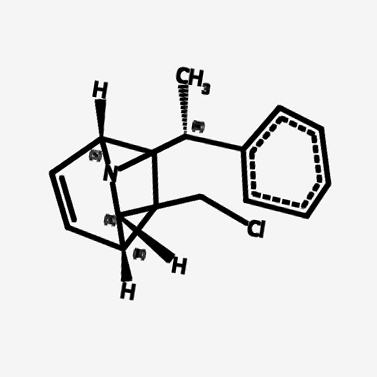 C[C@H](c1ccccc1)N1[C@@H]2C=C[C@@H](CC2)[C@H]1CCl